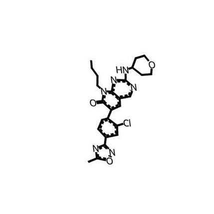 CCCCn1c(=O)c(-c2ccc(-c3noc(C)n3)cc2Cl)cc2cnc(NC3CCOCC3)nc21